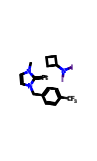 Cn1ccn(Cc2ccc(C(F)(F)F)cc2)[c]1=[Pt].IN(I)C1CCC1